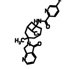 CC1(N2Cc3ncccc3C2=O)CC2CC3C(CC3(NC(=O)c3ccc(F)cn3)C2)C1